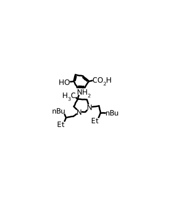 CCCCC(CC)CN1CN(CC(CC)CCCC)CC(C)(N)C1.O=C(O)c1ccc(O)cc1